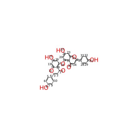 O=c1cc(-c2ccc(O)cc2)oc2cc(O)cc(Oc3cc(O)cc4oc(-c5ccc(O)cc5)cc(=O)c34)c12